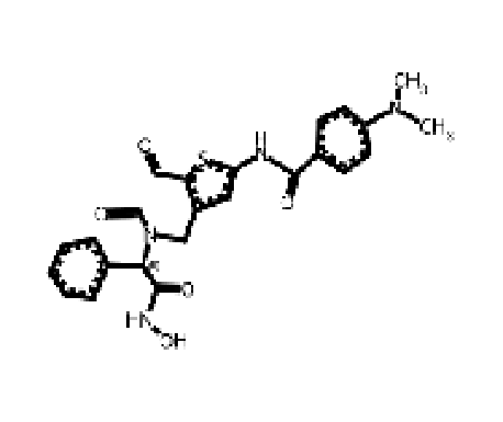 CN(C)c1ccc(C(=O)Nc2cc(CN(C=O)[C@@H](C(=O)NO)c3ccccc3)c(C=O)s2)cc1